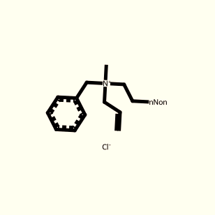 C=CC[N+](C)(CCCCCCCCCCC)Cc1ccccc1.[Cl-]